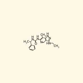 CCNc1n[nH]c2c(C)c(NC(=O)NC(C)c3ccccc3)ncc12